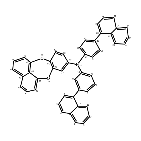 c1cc(-c2cccc3ccccc23)cc(N(c2ccc(-c3cccc4ccccc34)cc2)c2ccc3c(c2)Oc2cccc4cccc(c24)O3)c1